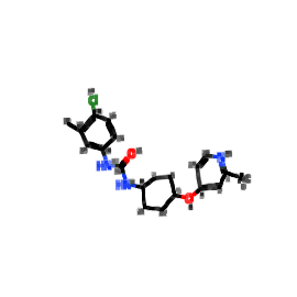 CC(=O)c1cc(OC2CCC(NC(=O)Nc3ccc(Cl)c(C)c3)CC2)ccn1